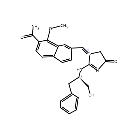 COc1c(C(N)=O)cnc2ccc(/C=S3/CC(=O)N=C3N[C@@H](CO)Cc3ccccc3)cc12